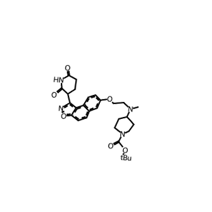 CN(CCOc1ccc2c(ccc3onc(C4CCC(=O)NC4=O)c32)c1)C1CCN(C(=O)OC(C)(C)C)CC1